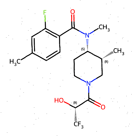 Cc1ccc(C(=O)N(C)[C@H]2CCN(C(=O)[C@@H](O)C(F)(F)F)C[C@H]2C)c(F)c1